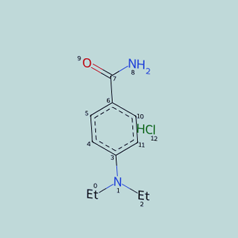 CCN(CC)c1ccc(C(N)=O)cc1.Cl